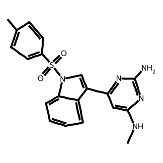 CNc1cc(-c2cn(S(=O)(=O)c3ccc(C)cc3)c3ccccc23)nc(N)n1